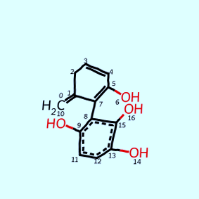 C=C1CC=CC(O)=C1c1c(O)ccc(O)c1O